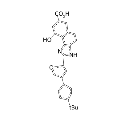 CC(C)(C)c1ccc(-c2coc(-c3nc4c(ccc5cc(C(=O)O)cc(O)c54)[nH]3)c2)cc1